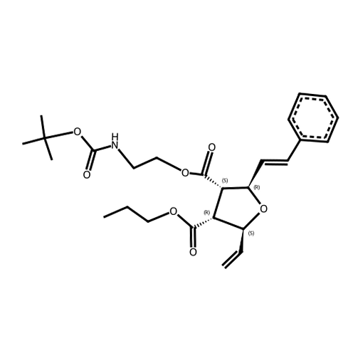 C=C[C@@H]1O[C@H](C=Cc2ccccc2)[C@@H](C(=O)OCCNC(=O)OC(C)(C)C)[C@H]1C(=O)OCCC